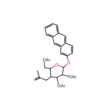 C=C(C)CC1C(COC(C)=O)OC(Oc2ccc3cc4ccccc4cc3c2)C(OC(C)=O)C1OC(C)=O